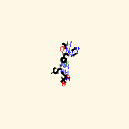 CCC(=O)NC(CN1CCN(C)CC1)[C@@H](C)c1ccc(NC[C@@H](NCc2conc2C2(C)COC2)[C@H]2CC[C@H](C)CC2)c(F)c1